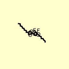 CCCCCCCCCC1COC(c2ccc(OCCCCCCC)c(F)c2F)OC1